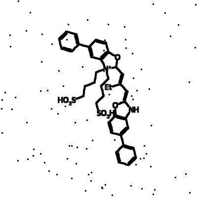 CCC(=CC1Oc2ccc(-c3ccccc3)cc2[N+]1(CCCCS(=O)(=O)O)CCCCS(=O)(=O)O)C=C1Nc2cc(-c3ccccc3)ccc2O1